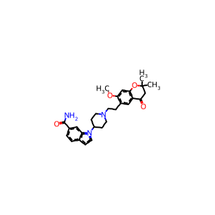 COc1cc2c(cc1CCN1CCC(n3ccc4ccc(C(N)=O)cc43)CC1)C(=O)CC(C)(C)O2